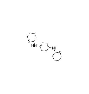 c1cc(NC2CCCCS2)ccc1NC1CCCCS1